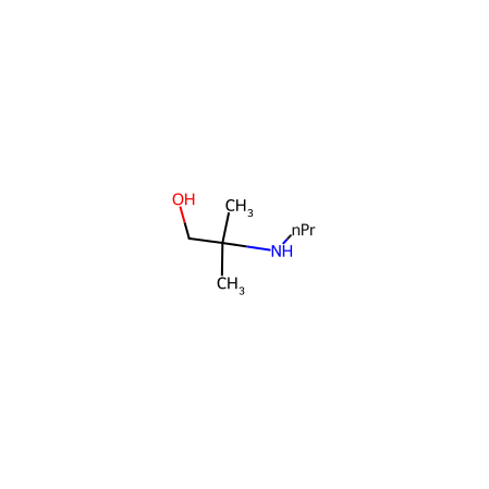 [CH2]CCNC(C)(C)CO